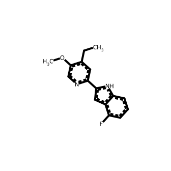 CCc1cc(-c2cc3c(F)cccc3[nH]2)ncc1OC